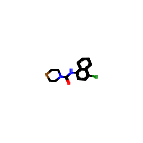 O=C(Nc1ccc(Cl)c2ccccc12)N1CCSCC1